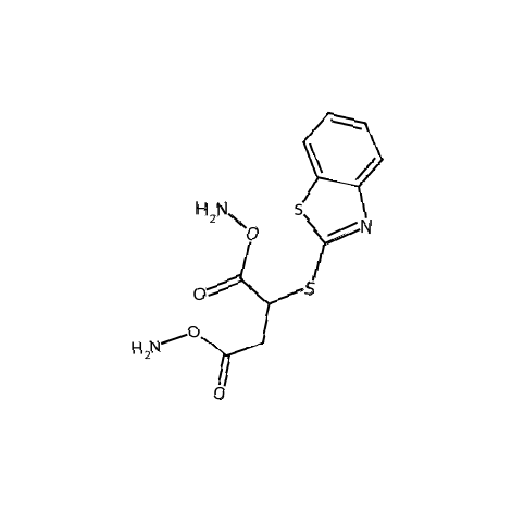 NOC(=O)CC(Sc1nc2ccccc2s1)C(=O)ON